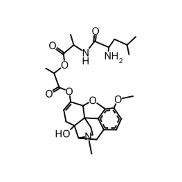 COc1ccc2c3c1OC1C(OC(=O)C(C)OC(=O)C(C)NC(=O)C(N)CC(C)C)=CCC4(O)C(C2)N(C)CCC314